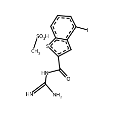 CS(=O)(=O)O.N=C(N)NC(=O)c1cc2c(I)cccc2s1